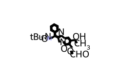 CC(O)c1cc2n(c(=O)c1COC=O)Cc1c-2nc2ccccc2c1/C=N/OC(C)(C)C